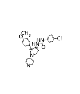 COc1ccc([C@@H]2CN(c3ccncc3)CC[C@H]2NC(=O)Nc2ccc(Cl)cc2)cc1